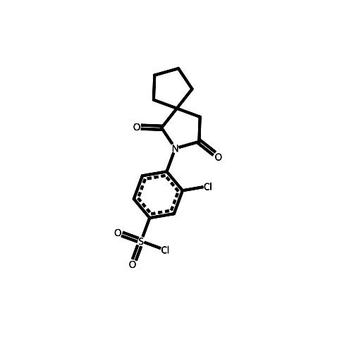 O=C1CC2(CCCC2)C(=O)N1c1ccc(S(=O)(=O)Cl)cc1Cl